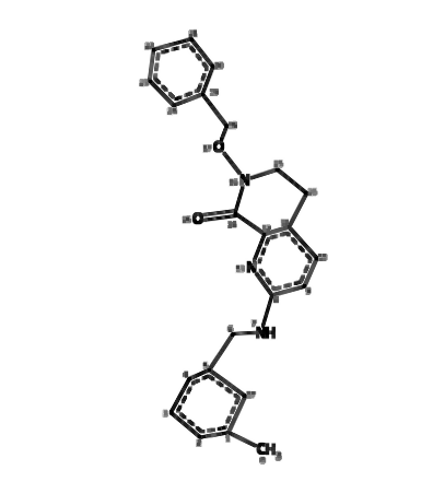 Cc1cccc(CNc2ccc3c(n2)C(=O)N(OCc2ccccc2)CC3)c1